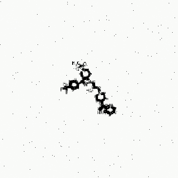 CS(=O)(=O)N1CCc2c(c(-c3ccc(C(F)(F)F)cc3)nn2CC(O)CN2CCC(c3c[nH]c4cccnc34)CC2)C1